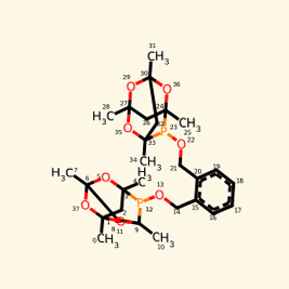 CC12CC3(C)OC(C)(CC(C)(O1)P3OCc1ccccc1COP1C3(C)CC4(C)OC(C)(CC1(C)O4)O3)O2